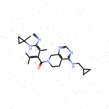 C=N/C(NC1(C)CC1)=C(\C)C(C(=O)N1CCc2c(ncnc2NCC2CC2)C1)=C(C)C